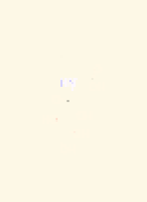 CSCCC(NCC(=O)C(O)C(O)C(O)CO)C(=O)O